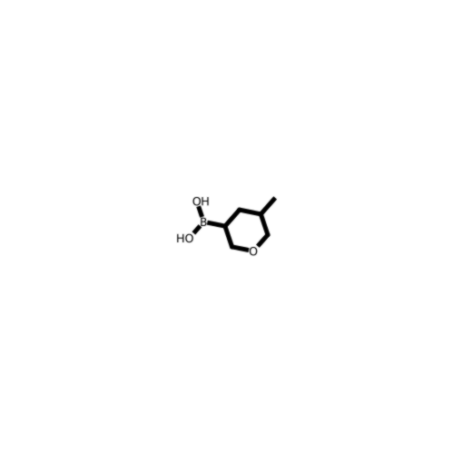 CC1COCC(B(O)O)C1